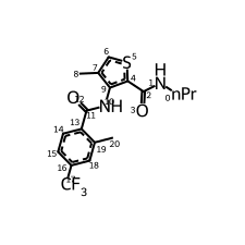 CCCNC(=O)c1scc(C)c1NC(=O)c1ccc(C(F)(F)F)cc1C